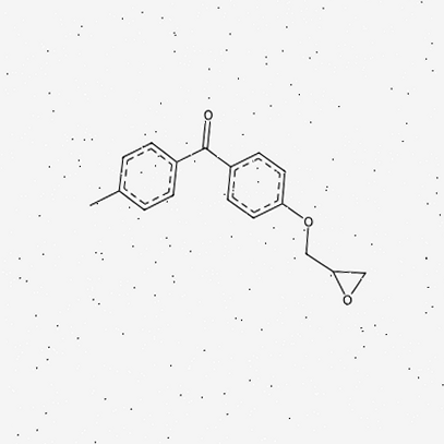 Cc1ccc(C(=O)c2ccc(OCC3CO3)cc2)cc1